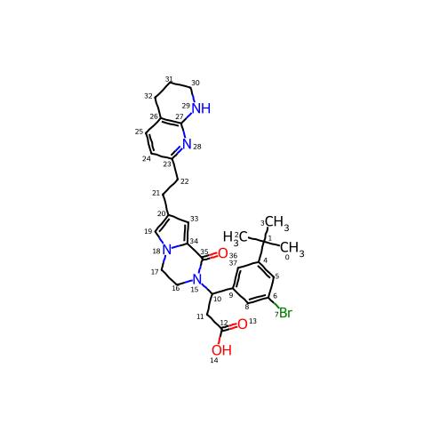 CC(C)(C)c1cc(Br)cc(C(CC(=O)O)N2CCn3cc(CCc4ccc5c(n4)NCCC5)cc3C2=O)c1